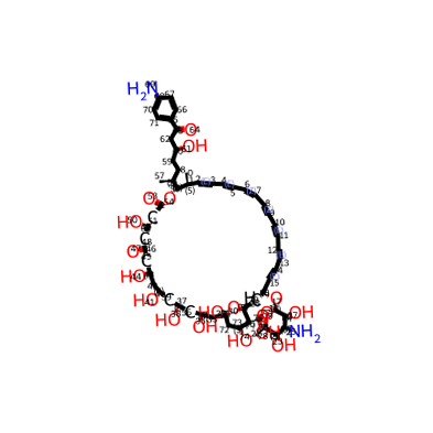 C[C@H]1/C=C/C=C/C=C\C=C/C=C/C=C/C=C/[C@H](O[C@@H]2O[C@H](C)[C@@H](O)[C@H](N)[C@H]2O)C[C@@H]2O[C@](O)(C[C@@H](O)C[C@@H](O)C[C@@H](O)C[C@@H](O)CC(=O)C[C@@H](O)CC(=O)O[C@@H]1[C@@H](C)CCC(O)CC(=O)c1ccc(N)cc1)C[C@H](O)[C@H]2C(=O)O